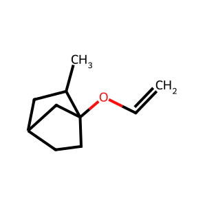 C=COC12CCC(CC1C)C2